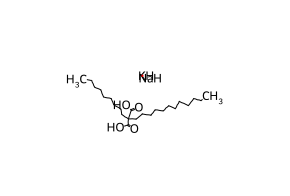 CCCCCCCCCCCCC(CCCCCCCCC)(C(=O)O)C(=O)O.[KH].[NaH]